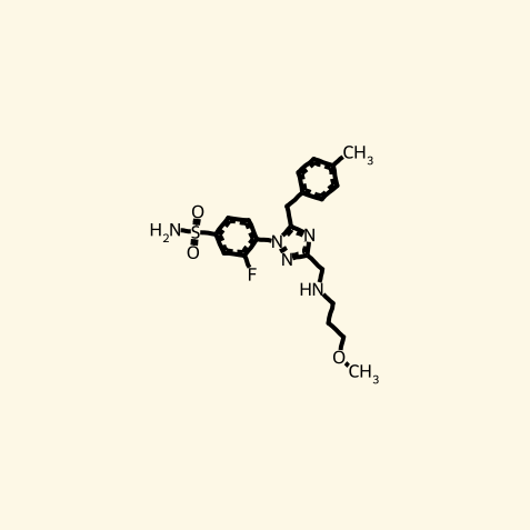 COCCCNCc1nc(Cc2ccc(C)cc2)n(-c2ccc(S(N)(=O)=O)cc2F)n1